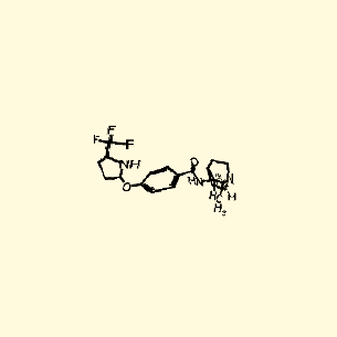 C[C@H]1[C@H](NC(=O)c2ccc(OC3CCC(C(F)(F)F)N3)cc2)C2CCN1CC2